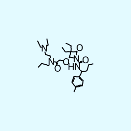 CCCC(NC(=O)N1C(=O)C(CC)(CC)C1OCC(=O)N(CCC)CCN(CC)CC)c1ccc(C)cc1